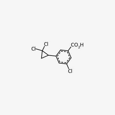 O=C(O)c1cc(Cl)cc(C2CC2(Cl)Cl)c1